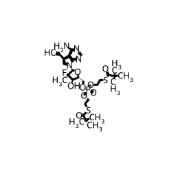 C#Cc1cn([C@@H]2O[C@H](COP(=O)(OCCSC(=O)C(C)(C)C)OCCSC(=O)C(C)(C)C)[C@@H](O)[C@@]2(C)F)c2ncnc(N)c12